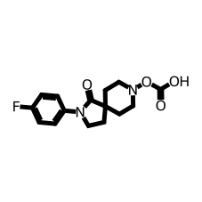 O=C(O)ON1CCC2(CC1)CCN(c1ccc(F)cc1)C2=O